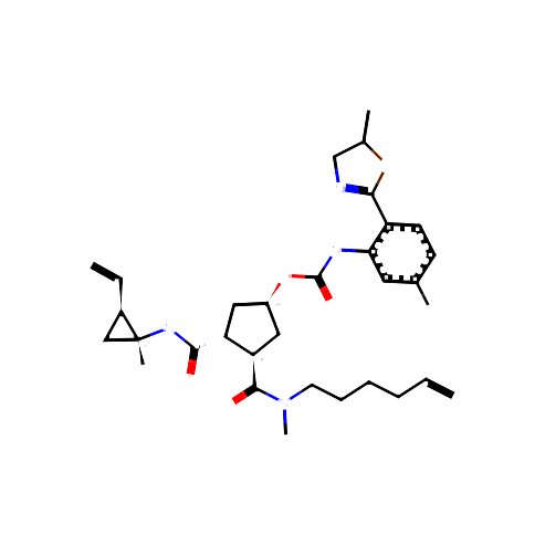 C=CCCCCN(C)C(=O)[C@@H]1C[C@H](OC(=O)Nc2cc(C(F)(F)F)ccc2C2=NCC(C)S2)C[C@H]1C(=O)N[C@]1(CC)C[C@H]1C=C